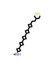 CCC(CS)CCC1CC(C2CC(C3CC(C4CC(C5CC(NC)C5)C4)C3)C2)C1